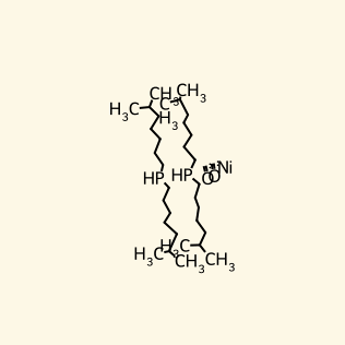 CC(C)CCCCCPCCCCCC(C)C.CC(C)CCCCCPCCCCCC(C)C.[C]=O.[C]=O.[Ni]